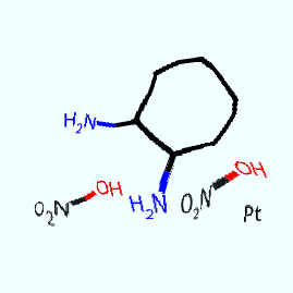 NC1CCCCC1N.O=[N+]([O-])O.O=[N+]([O-])O.[Pt]